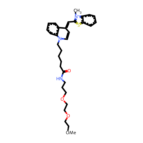 COCCOCCOCCCNC(=O)CCCCCN1C=CC(=Cc2sc3ccccc3[n+]2C)c2ccccc21